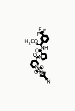 COC[C@H](NC(=O)[C@H]1CCCN1C(=O)[C@H]1CCCN(S(=O)(=O)N2CC(C#N)C2)C1)c1cccc(C(F)(F)F)c1